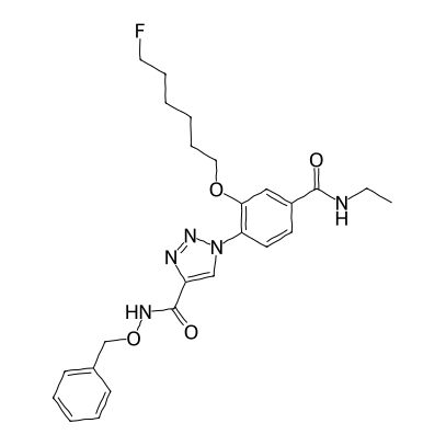 CCNC(=O)c1ccc(-n2cc(C(=O)NOCc3ccccc3)nn2)c(OCCCCCCF)c1